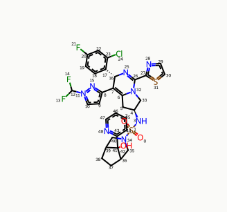 O=S(=O)(N[C@H]1CC2=C(c3ccn(C(F)F)n3)[C@H](c3ccc(F)cc3Cl)N=C(c3nccs3)N2C1)N1CC2CCC(C1)C2(O)c1ccccn1